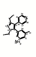 CCc1nn(CC)c(-c2cccc(C)c2)c1-c1ccncc1.N